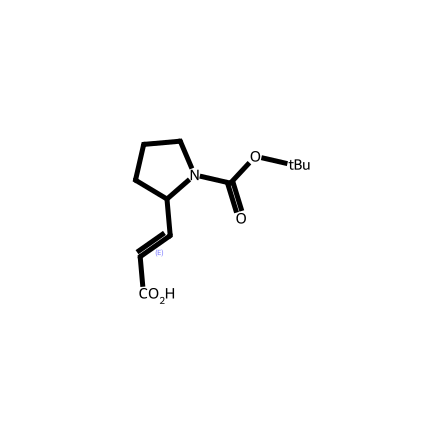 CC(C)(C)OC(=O)N1CCCC1/C=C/C(=O)O